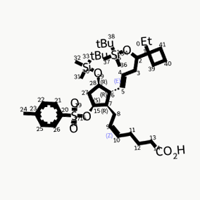 CCC1(C(C/C=C/[C@@H]2[C@@H](C/C=C\CCCC(=O)O)[C@@H](OS(=O)(=O)c3ccc(C)cc3)C[C@H]2O[Si](C)(C)C(C)(C)C)O[Si](C)(C)C(C)(C)C)CCC1